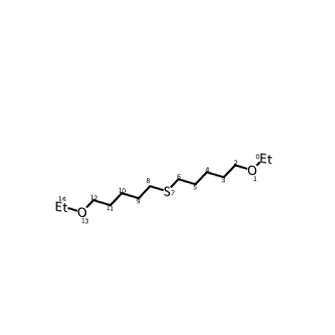 CCOCCCCCSCCCCCOCC